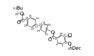 CCCCCCCCCCOc1ccc(C(=O)Oc2ccc(-c3ccc(C(=O)OC[C@@H](C)CC)cc3)cc2)cc1Cl